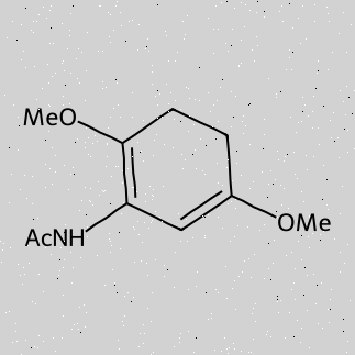 COC1=CC(NC(C)=O)=C(OC)CC1